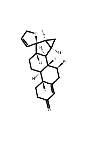 CC[C@H]1CC2=CC(=O)CC[C@@H]2[C@H]2CC[C@@]3(CC)[C@@H]([C@@H]4C[C@@H]4[C@@]34C=CCO4)[C@H]12